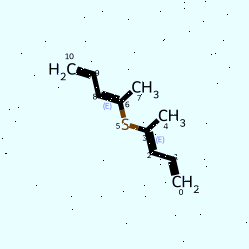 C=C/C=C(\C)S/C(C)=C/C=C